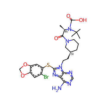 C[C@H](C(=O)N1CCC[C@@H](CCn2c(Sc3cc4c(cc3Br)OCO4)nc3c(N)ncnc32)C1)N(C(=O)O)C(C)(C)C